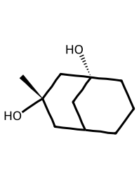 C[C@]1(O)CC2CCC[C@@](O)(C2)C1